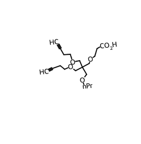 C#CCCOCC(COCCC)(COCCC#C)COCCC(=O)O